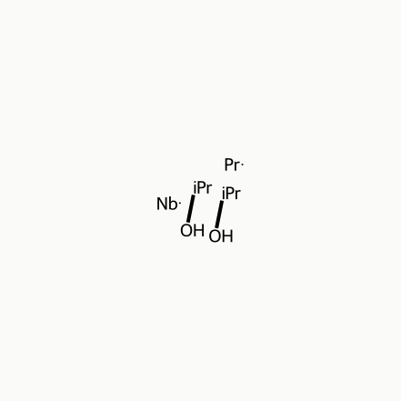 CC(C)O.CC(C)O.[Nb].[Pr]